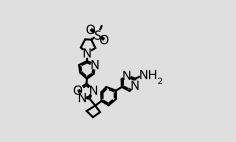 CS(=O)(=O)C1CCN(c2ccc(-c3nc(C4(c5ccc(-c6cnc(N)nc6)cc5)CCC4)no3)cn2)C1